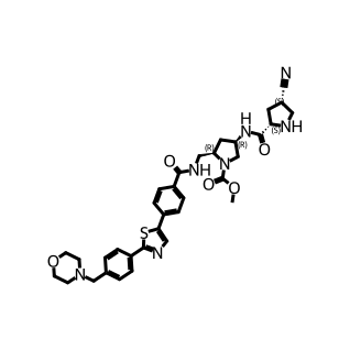 COC(=O)N1C[C@H](NC(=O)[C@@H]2C[C@H](C#N)CN2)C[C@@H]1CNC(=O)c1ccc(-c2cnc(-c3ccc(CN4CCOCC4)cc3)s2)cc1